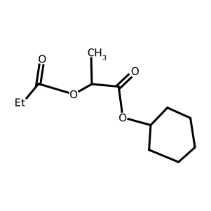 CCC(=O)OC(C)C(=O)OC1CCCCC1